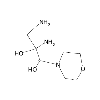 NCC(N)(O)[C](O)N1CCOCC1